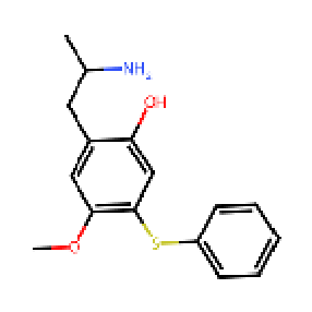 COc1cc(CC(C)N)c(O)cc1Sc1ccccc1